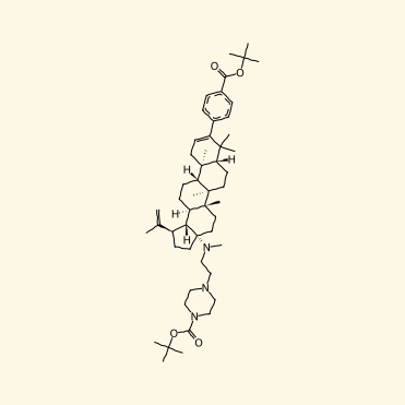 C=C(C)[C@@H]1CC[C@]2(N(C)CCN3CCN(C(=O)OC(C)(C)C)CC3)CC[C@]3(C)[C@H](CC[C@@H]4[C@@]5(C)CC=C(c6ccc(C(=O)OC(C)(C)C)cc6)C(C)(C)[C@@H]5CC[C@]43C)[C@@H]12